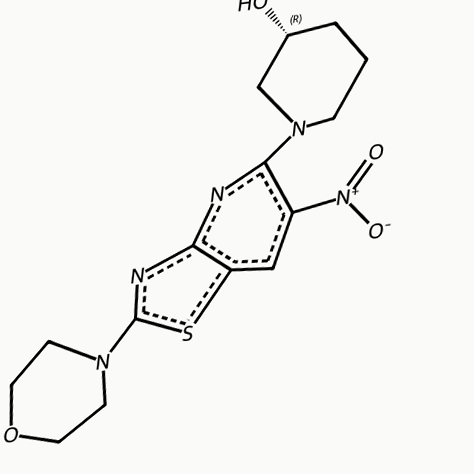 O=[N+]([O-])c1cc2sc(N3CCOCC3)nc2nc1N1CCC[C@@H](O)C1